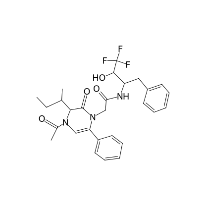 CCC(C)C1C(=O)N(CC(=O)NC(Cc2ccccc2)C(O)C(F)(F)F)C(c2ccccc2)=CN1C(C)=O